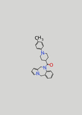 Cc1ccc(N2CCC(C(=O)N3Cc4cccn4Cc4ccccc43)CC2)cc1